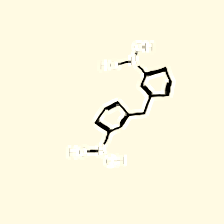 OB(O)c1cccc(Cc2cccc(B(O)O)c2)c1